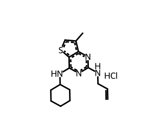 C=CCNc1nc(NC2CCCCC2)c2scc(C)c2n1.Cl